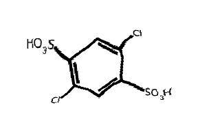 O=S(=O)(O)c1cc(Cl)c(S(=O)(=O)O)cc1Cl